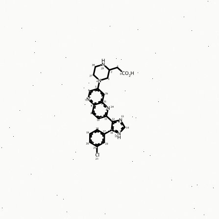 O=C(O)CC1CN(c2cnc3ccc(-c4nc[nH]c4-c4cccc(Cl)c4)nc3c2)CCN1